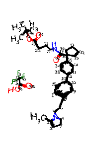 CC1CCCN1CCc1ccc(-c2ccc(C3(C(=O)NCCCC(=O)OC(C)(C)C)CCCC3)cc2)cc1.O=C(O)C(F)(F)F